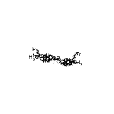 CC(C)CCC[C@@H](C)[C@H]1CC[C@H]2[C@@H]3CC=C4C[C@@H](OCC(=O)O[C@H]5CC[C@@]6(C)C(=CC[C@H]7[C@@H]8CC[C@H]([C@H](C)CCCC(C)C)[C@@]8(C)CC[C@@H]76)C5)CC[C@]4(C)[C@H]3CC[C@]12C